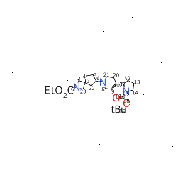 CCOC(=O)N1CC2(CCC(N3CC=C([C@@H]4CCCN4C(=O)OC(C)(C)C)CC3)C2)C1